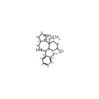 CCC12CCC(Cl)CC1C(c1ccccc1F)NCC1CCNN12